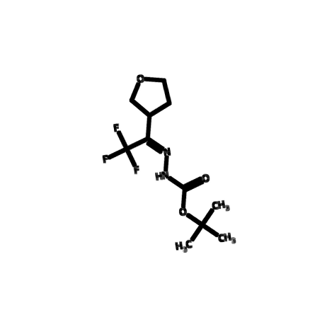 CC(C)(C)OC(=O)NN=C(C1CCOC1)C(F)(F)F